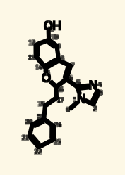 Cn1ccnc1C1=Cc2cc(O)ccc2OC1CCc1ccccc1